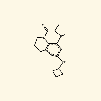 CC1C(=O)N2CCCc3nc(NC4CCC4)nc(c32)N1C